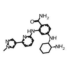 Cn1cc(-c2cccc(Nc3cc(N[C@@H]4CCCC[C@@H]4N)ccc3C(N)=O)n2)cn1